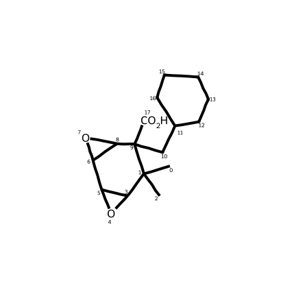 CC1(C)C2OC2C2OC2C1(CC1CCCCC1)C(=O)O